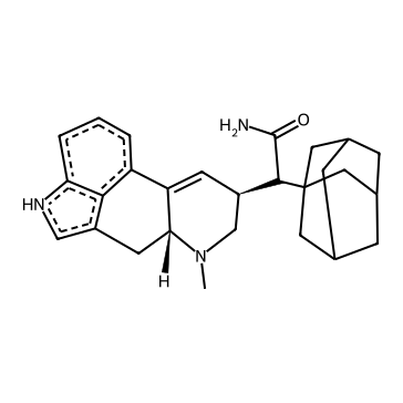 CN1C[C@H](C(C(N)=O)C23CC4CC(CC(C4)C2)C3)C=C2c3cccc4[nH]cc(c34)C[C@H]21